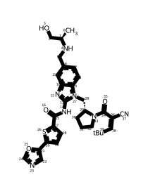 C[C@H](CO)NCc1ccc2c(c1)nc(NC(=O)c1ccc(-c3cnco3)s1)n2C[C@H]1CCCN1C(=O)C(C#N)=CC(C)(C)C